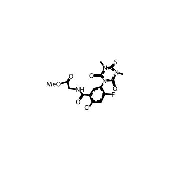 COC(=O)CNC(=O)c1cc(-n2c(=O)n(C)c(=S)n(C)c2=O)c(F)cc1Cl